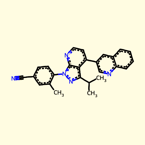 Cc1cc(C#N)ccc1-n1nc(C(C)C)c2c(-c3cnc4ccccc4c3)ccnc21